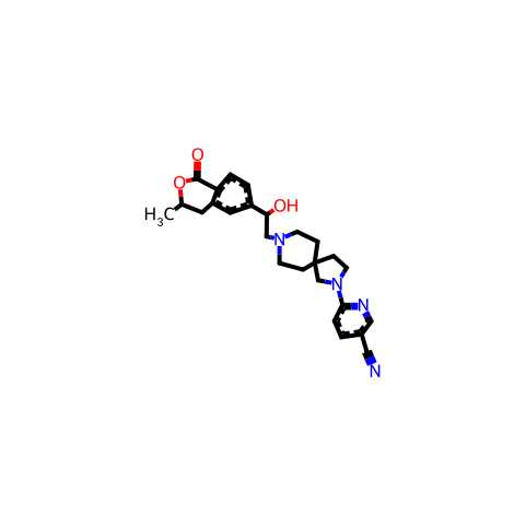 CC1Cc2cc(C(O)CN3CCC4(CC3)CCN(c3ccc(C#N)cn3)C4)ccc2C(=O)O1